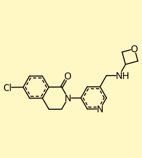 O=C1c2ccc(Cl)cc2CCN1c1cncc(CNC2COC2)c1